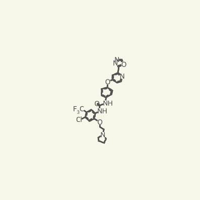 O=C(Nc1ccc(Oc2ccnc(-c3nnco3)c2)cc1)Nc1cc(C(F)(F)F)c(Cl)cc1OCCN1CCCC1